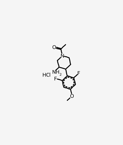 COc1cc(F)c(C2CCN(C(C)=O)CC2N)c(F)c1.Cl